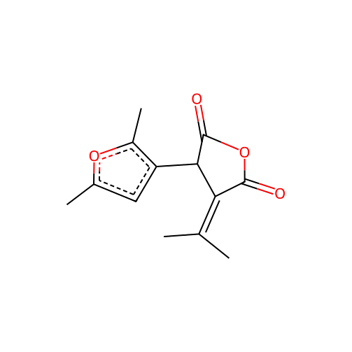 CC(C)=C1C(=O)OC(=O)C1c1cc(C)oc1C